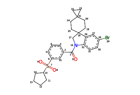 O=C(c1cccc(S(=O)(=O)C2CCCC2)c1)N1CC2(CCC3(CC3)CC2)c2cc(Br)ccc21